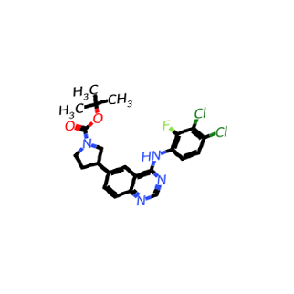 CC(C)(C)OC(=O)N1CCC(c2ccc3ncnc(Nc4ccc(Cl)c(Cl)c4F)c3c2)C1